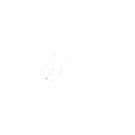 CC1(C)c2ccc(N(c3ccc4oc5ccccc5c4c3)c3ccccc3-c3cccc4cccc(-c5ccccc5)c34)cc2-c2c(C34CC5CC(CC(C5)C3)C4)cccc21